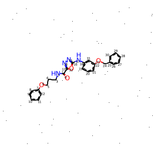 O=C(NCCCOc1ccccc1)c1nnc(Nc2cccc(OCc3ccccc3)c2)o1